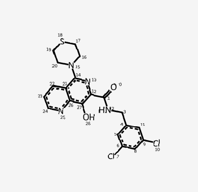 O=C(NCc1cc(Cl)cc(Cl)c1)c1nc(N2CCSCC2)c2cccnc2c1O